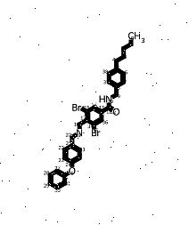 CCCCCc1ccc(CNC(=O)c2cc(Br)c(C[N]Cc3ccc(Oc4ccccc4)cc3)c(Br)c2)cc1